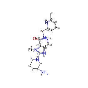 CCn1c(N2CCCC(N)C2)nc2cnn(Cc3cccc(C)n3)c(=O)c21